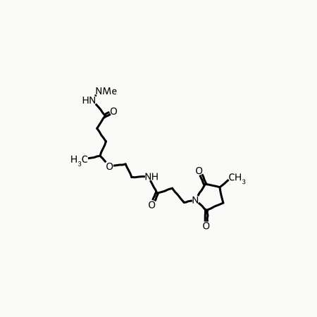 CNNC(=O)CCC(C)OCCNC(=O)CCN1C(=O)CC(C)C1=O